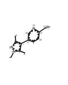 Cc1nn(C)c(C)c1-c1ccc(C(C)C)nc1